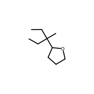 CCC(C)(CC)C1CCCO1